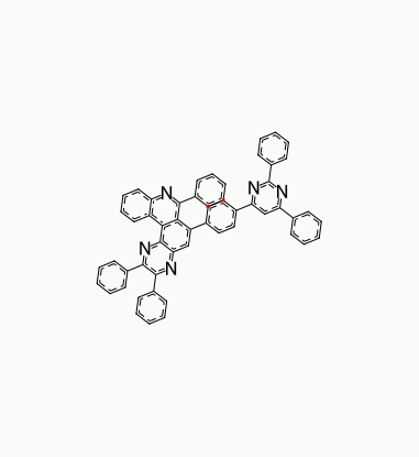 c1ccc(-c2cc(-c3ccc(-c4cc5nc(-c6ccccc6)c(-c6ccccc6)nc5c5c4c(-c4ccccc4)nc4ccccc45)cc3)nc(-c3ccccc3)n2)cc1